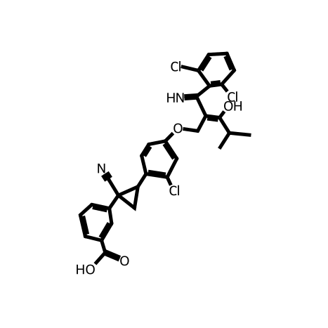 CC(C)/C(O)=C(\COc1ccc(C2CC2(C#N)c2cccc(C(=O)O)c2)c(Cl)c1)C(=N)c1c(Cl)cccc1Cl